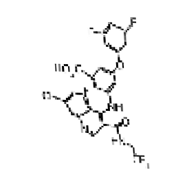 O=C(O)c1cc(Nc2c(C(=O)NCC(F)(F)F)cnc3cc(Cl)cc(F)c23)cc(Oc2cc(F)cc(F)c2)c1